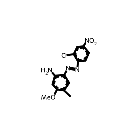 COc1cc(N)c(N=Nc2ccc([N+](=O)[O-])cc2Cl)cc1C